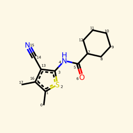 Cc1sc(NC(=O)C2CCCCC2)c(C#N)c1C